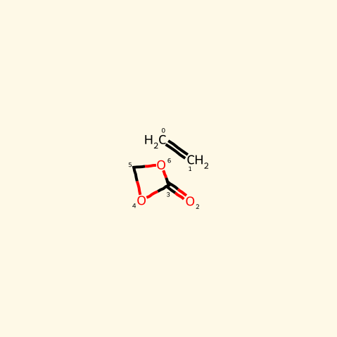 C=C.O=C1OCO1